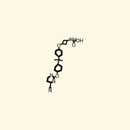 CC(C)(c1ccc(Oc2nccc(C#N)n2)cc1)c1ccc(OC2CC(NC(=O)O)C2)cc1